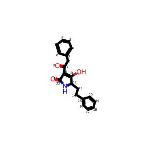 O=C(Cc1ccccc1)C1=C(O)C(CCc2ccccc2)NC1=O